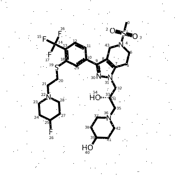 CS(=O)(=O)N1CCc2c(c(-c3ccc(C(F)(F)F)c(SCCN4CCC(F)CC4)c3)nn2C[C@@H](O)CN2CCC(O)CC2)C1